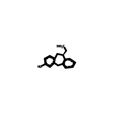 CCOC(=O)C[C@@H]1Cc2ccc(O)cc2Cc2ccccc21